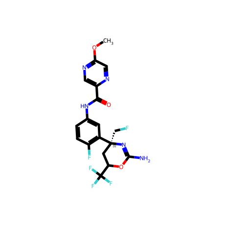 COc1cnc(C(=O)Nc2ccc(F)c([C@]3(CF)CC(C(F)(F)F)OC(N)=N3)c2)cn1